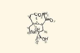 CCCCCCCCCCCCC(=O)O.NC(=O)C(O)CP(=O)(O)O